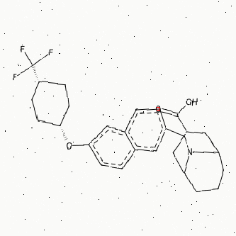 O=C(O)C1CC2CCCC(C1)N2Cc1ccc2cc(O[C@H]3CC[C@@H](C(F)(F)F)CC3)ccc2c1